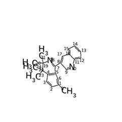 Cc1ccc2c(c1)C(c1cnc3ccccc3c1)=NC(C)(C)C2(C)C